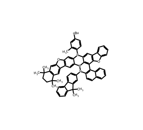 CCCCc1ccc(N2c3cc4oc5cc6c(cc5c4cc3B3c4c2cc2c(oc5ccccc52)c4-c2c(ccc4ccccc24)N3c2ccc3c(c2)C(C)(C)c2ccccc2-3)C(C)(C)CCC6(C)C)c(C)c1